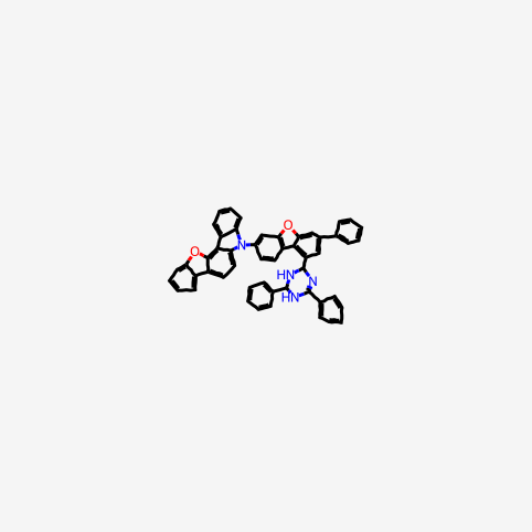 c1ccc(C2=NC(c3cc(-c4ccccc4)cc4oc5cc(-n6c7ccccc7c7c8oc9ccccc9c8ccc76)ccc5c34)NC(c3ccccc3)N2)cc1